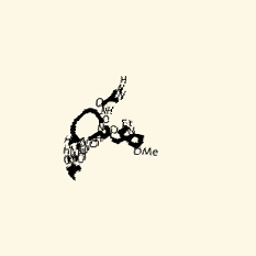 CCc1nc2ccc(OC)cc2c2c1O[C@]1(CC2)C[C@H]2C(=O)N[C@]3(C(=O)NS(=O)(=O)C4(C)CC4)C[C@H]3/C=C\CCCCC[C@H](NC(=O)c3cn[nH]c3)C(=O)N2C1